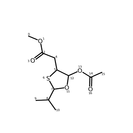 COC(=O)CC1SC(C(C)C)OC1OC(C)=O